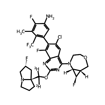 [2H]C([2H])(Oc1nc(N2CCOC[C@@H]3[C@@H](F)[C@@H]32)c2cc(Cl)c(-c3cc(N)c(F)c(C)c3C(F)(F)F)c(F)c2n1)[C@@]12CCCN1C[C@H](F)C2